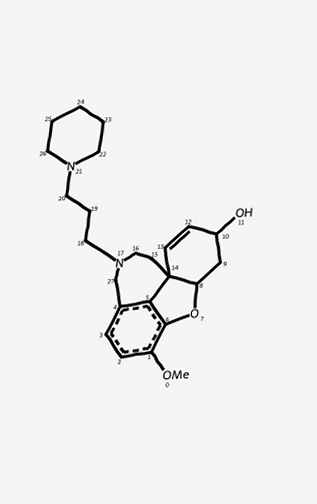 COc1ccc2c3c1OC1CC(O)C=CC31CCN(CCCN1CCCCC1)C2